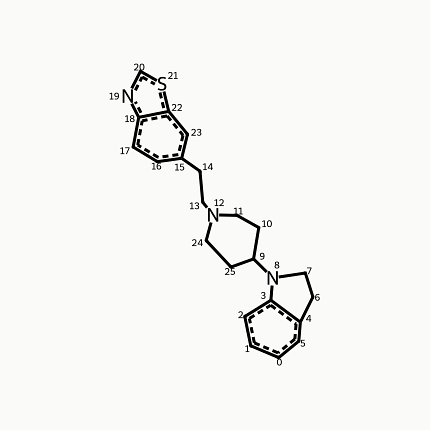 c1ccc2c(c1)CCN2C1CCN(CCc2ccc3ncsc3c2)CC1